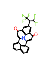 O=c1cc2c3cccc4cccc(c43)c3cc(=O)c4cc(C(C(F)F)C(F)(F)F)cc1c4n23